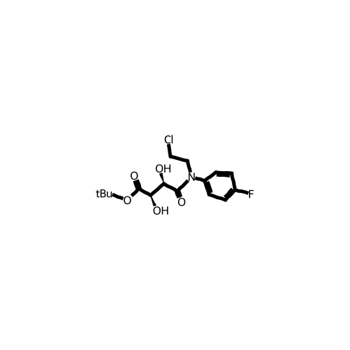 CC(C)(C)OC(=O)[C@H](O)[C@@H](O)C(=O)N(CCCl)c1ccc(F)cc1